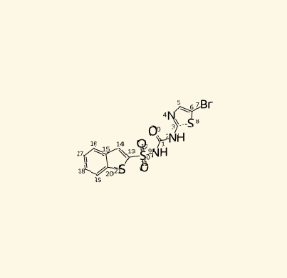 O=C(Nc1ncc(Br)s1)NS(=O)(=O)c1cc2ccccc2s1